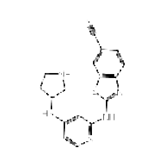 N#Cc1ccc2nc(Nc3cc(NC4CCNC4)ccn3)sc2c1